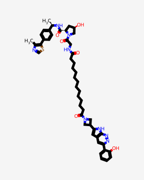 Cc1ncsc1-c1ccc([C@H](C)NC(=O)[C@@H]2C[C@@H](O)CN2C(=O)CNC(=O)CCCCCCCCCCCCC(=O)N2CC(c3cc4cc(-c5ccccc5O)nnc4[nH]3)C2)cc1